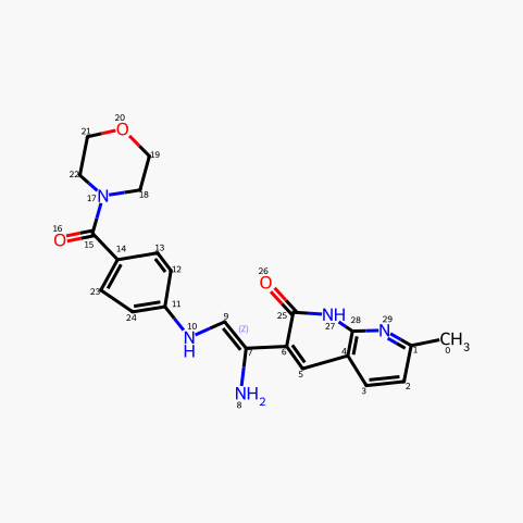 Cc1ccc2cc(/C(N)=C/Nc3ccc(C(=O)N4CCOCC4)cc3)c(=O)[nH]c2n1